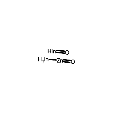 [O]=[InH].[O]=[Zn][InH2]